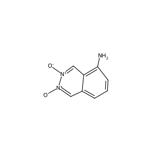 Nc1cccc2c[n+]([O-])[n+]([O-])cc12